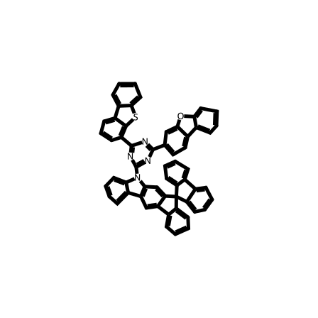 c1ccc2c(c1)-c1ccccc1C21c2ccccc2-c2cc3c4ccccc4n(-c4nc(-c5ccc6c(c5)oc5ccccc56)nc(-c5cccc6c5sc5ccccc56)n4)c3cc21